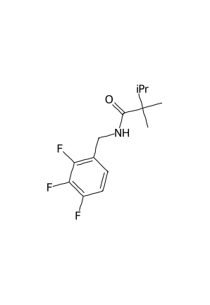 CC(C)C(C)(C)C(=O)NCc1ccc(F)c(F)c1F